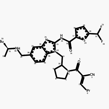 CC(C)/C=C(\C#N)C(=O)N1CCCC1Cn1c(NC(=O)c2ccc(C(F)F)s2)nc2cc(CN[C@@H](C)C(C)(C)C)ccc21